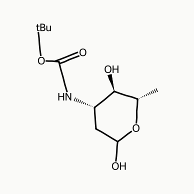 C[C@@H]1OC(O)C[C@H](NC(=O)OC(C)(C)C)[C@H]1O